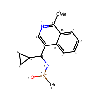 COc1ncc(C(N[S+]([O-])C(C)(C)C)C2CC2)c2ccccc12